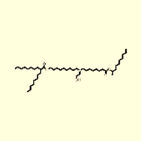 CCCCCCCCC(C)OC(=O)CCCCCCCN(CCO)CCCCCCCCCOC(=O)C(CCCCCCCC)CCCCCCCC